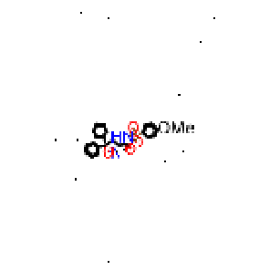 COc1ccc(S(=O)(=O)NC(=O)C2=NOC(c3ccccc3)(c3ccccc3)C2)cc1